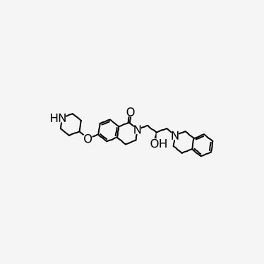 O=C1c2ccc(OC3CCNCC3)cc2CCN1C[C@H](O)CN1CCc2ccccc2C1